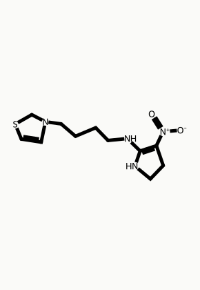 O=[N+]([O-])C1=C(NCCCCN2C=CSC2)NCC1